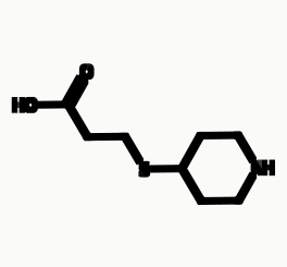 O=C(O)CCSC1CCNCC1